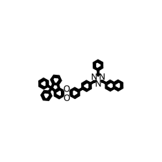 c1ccc(-c2nc(-c3ccc(-c4ccc5c(c4)Oc4c(ccc6c4-c4ccccc4C6(c4ccccc4)c4ccccc4)O5)cc3)nc(-c3ccc4ccccc4c3)n2)cc1